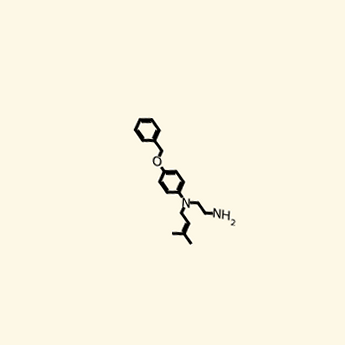 CC(C)=CCN(CCN)c1ccc(OCc2ccccc2)cc1